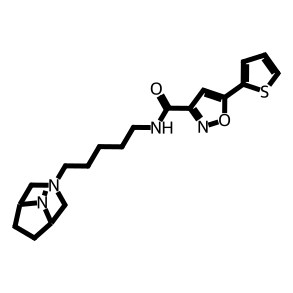 CN1C2CCC1CN(CCCCCNC(=O)c1cc(-c3cccs3)on1)C2